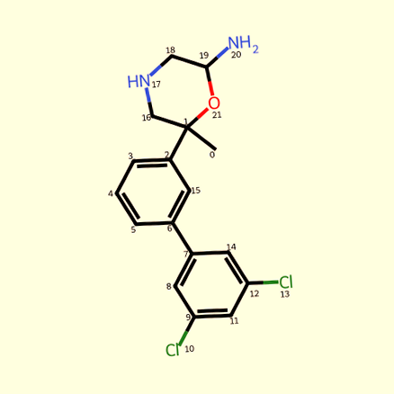 CC1(c2cccc(-c3cc(Cl)cc(Cl)c3)c2)CNCC(N)O1